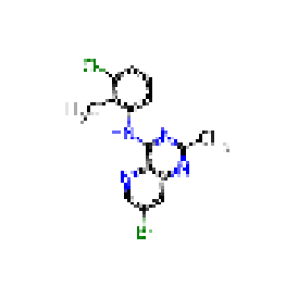 Cc1nc(Nc2cccc(Cl)c2C)c2ncc(Br)cc2n1